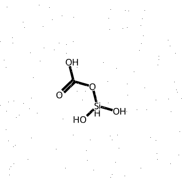 O=C(O)O[SiH](O)O